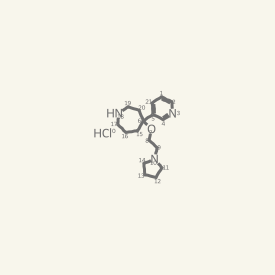 Cl.c1cncc(C2(OCCN3CCCC3)CCCNCC2)c1